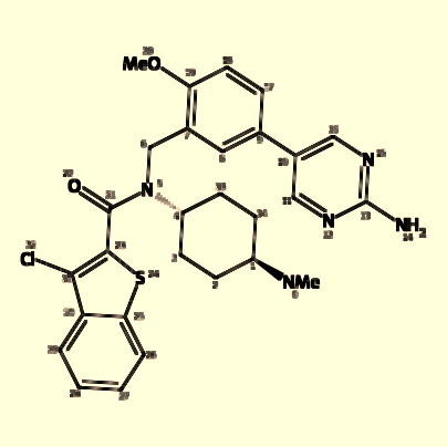 CN[C@H]1CC[C@H](N(Cc2cc(-c3cnc(N)nc3)ccc2OC)C(=O)c2sc3ccccc3c2Cl)CC1